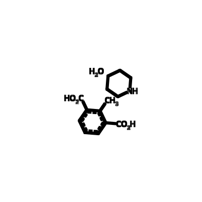 C1CCNCC1.Cc1c(C(=O)O)cccc1C(=O)O.O